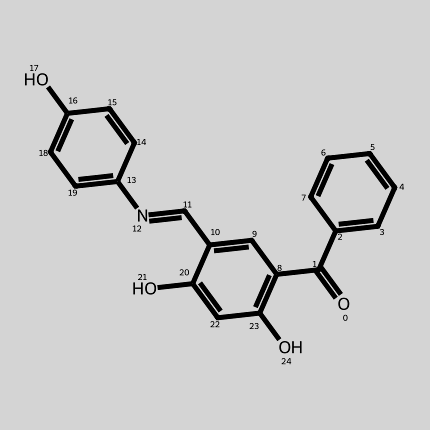 O=C(c1ccccc1)c1cc(/C=N/c2ccc(O)cc2)c(O)cc1O